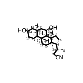 C[C@H](CC#N)[C@H]1CC[C@H]2[C@@H]3[C@H](O)C[C@@H]4C[C@H](O)CC[C@]4(C)[C@H]3CC[C@]12C